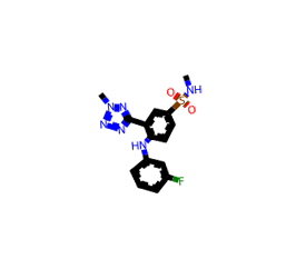 CNS(=O)(=O)c1ccc(Nc2cccc(F)c2)c(-c2nnn(C)n2)c1